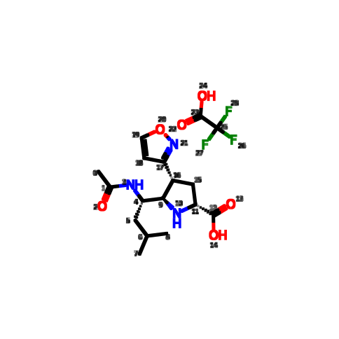 CC(=O)N[C@@H](CC(C)C)[C@@H]1N[C@@H](C(=O)O)C[C@H]1c1ccon1.O=C(O)C(F)(F)F